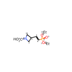 CCOP(=O)(C=CC1CN(C(=O)O)C1)OCC